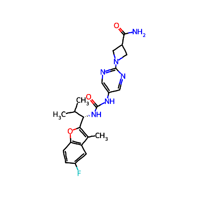 Cc1c([C@@H](NC(=O)Nc2cnc(N3CC(C(N)=O)C3)nc2)C(C)C)oc2ccc(F)cc12